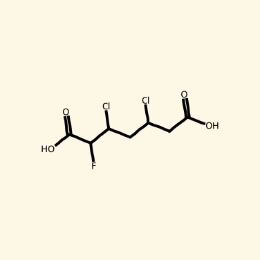 O=C(O)CC(Cl)CC(Cl)C(F)C(=O)O